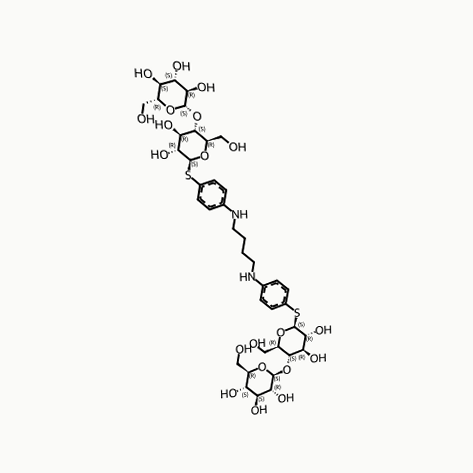 OC[C@H]1O[C@@H](O[C@H]2[C@H](O)[C@@H](O)[C@H](Sc3ccc(NCCCCNc4ccc(S[C@@H]5O[C@H](CO)[C@@H](O[C@@H]6O[C@H](CO)[C@@H](O)[C@H](O)[C@H]6O)[C@H](O)[C@H]5O)cc4)cc3)O[C@@H]2CO)[C@H](O)[C@@H](O)[C@@H]1O